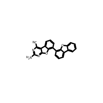 N#Cc1nc(N)nc2oc3c(-c4cccc5c4oc4ccccc45)cccc3c12